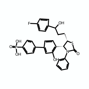 O=C1S[C@@H](CCC(O)c2ccc(F)cc2)[C@@H](c2ccc(-c3ccc(P(=O)(O)O)cc3)cc2O)N1c1ccccc1